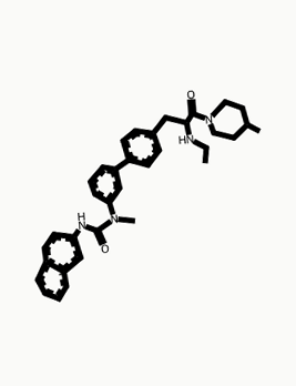 CCNC(Cc1ccc(-c2cccc(N(C)C(=O)Nc3ccc4ccccc4c3)c2)cc1)C(=O)N1CCC(C)CC1